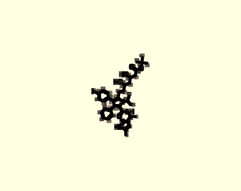 Cc1cc(C(C)NC(=O)c2c(-c3ccccc3)c(-c3ccc(F)cc3)c(CC[C@@H](O)C[C@@H](O)CC(=O)OC(C)(C)C)n2C(C)C)n[nH]1